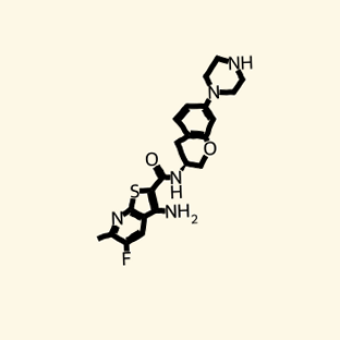 Cc1nc2sc(C(=O)N[C@@H]3COc4cc(N5CCNCC5)ccc4C3)c(N)c2cc1F